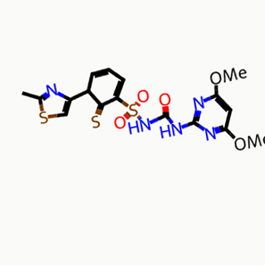 COc1cc(OC)nc(NC(=O)NS(=O)(=O)C2=CC=CC(c3csc(C)n3)C2=S)n1